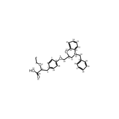 CCOC(Cc1ccc(OCC2CN(Cc3ccccc3)c3ccccc3O2)cc1)C(=O)O